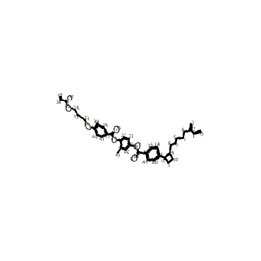 C=CC(=C)CCCCCC1CCC1c1ccc(C(=O)Oc2ccc(OC(=O)c3ccc(OCCCOC(=O)C=C)cc3)c(C)c2)cc1